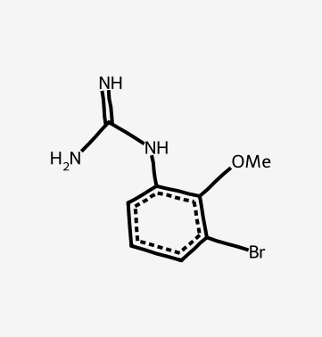 COc1c(Br)cccc1NC(=N)N